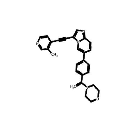 C=C(c1ccc(-c2ccc3ncc(C#Cc4ccncc4C)n3c2)cc1)N1CCOCC1